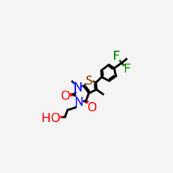 Cc1c(-c2ccc(C(C)(F)F)cc2)sc2c1c(=O)n(CCCO)c(=O)n2C